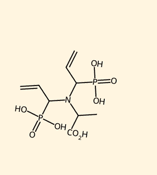 C=CC(N(C(C)C(=O)O)C(C=C)P(=O)(O)O)P(=O)(O)O